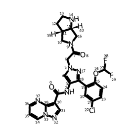 O=C(Nc1cn(CC(=O)N2C[C@@H]3CCN[C@@H]3C2)nc1-c1cc(Cl)ccc1OC(F)F)c1cnn2cccnc12